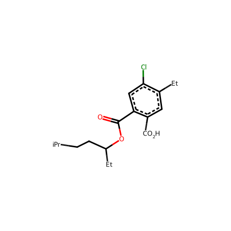 CCc1cc(C(=O)O)c(C(=O)OC(CC)CCC(C)C)cc1Cl